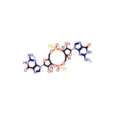 Nc1nc2c(ncn2[C@@H]2O[C@@H]3CO[P@@](=O)(S)O[C@@H]4C(CO[P@@](=O)(S)O[C@H]3[C@H]2O)O[C@@H](n2cnc3c(=O)[nH]c(N)nc32)[C@@H]4O)c(=O)[nH]1